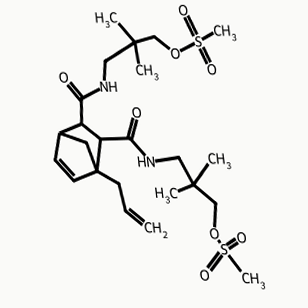 C=CCC12C=CC(C1)C(C(=O)NCC(C)(C)COS(C)(=O)=O)C2C(=O)NCC(C)(C)COS(C)(=O)=O